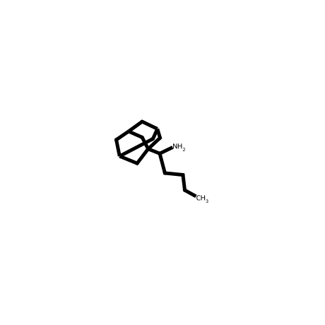 CCCCC(N)C12CC3CC(CC(C3)C1)C2